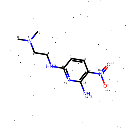 CN(C)CCNc1ccc([N+](=O)[O-])c(N)n1